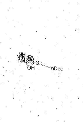 CCCCCCCCCCCCCCCCCCOCCOP(=O)(COC(CCO)Cn1cnc2c(N)ncnc21)OCC